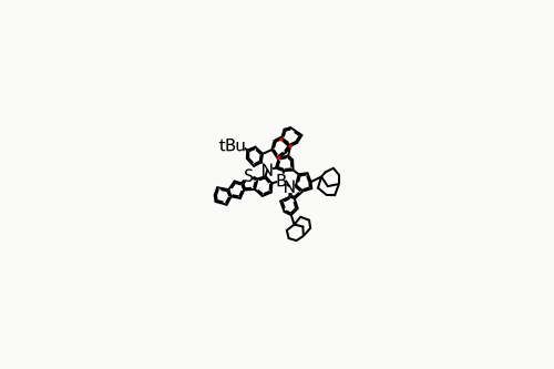 CC(C)(C)c1ccc(N2c3cc(-c4ccccc4)cc4c3B(c3ccc5c(sc6cc7ccccc7cc65)c32)n2c3ccc(C56CCCC(CCC5)C6)cc3c3cc(C56CCCC(CCC5)C6)cc-4c32)c(-c2ccccc2)c1